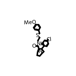 COc1ccc(CSCCNC(=O)C2C(c3ccc(Cl)cc3)CC3CCC2N3C)cc1